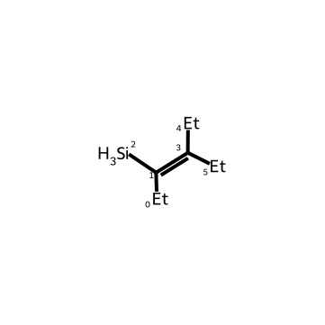 CCC([SiH3])=C(CC)CC